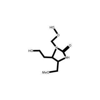 COCC1NC(=O)N(COO)C1CCO